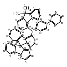 CC1(C)c2ccccc2-c2c(N(c3ccc(-c4ccccc4)cc3)c3cccc4c3C3=C(CC=CC=C3)C43c4ccccc4-c4ccccc43)cccc21